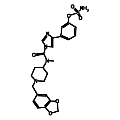 CN(C(=O)n1cnc(-c2cccc(OS(N)(=O)=O)c2)c1)C1CCN(Cc2ccc3c(c2)OCO3)CC1